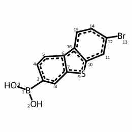 OB(O)c1ccc2c(c1)sc1cc(Br)ccc12